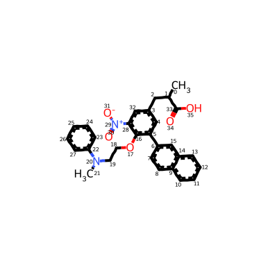 CC(Cc1cc(-c2ccc3ccccc3c2)c(OCCN(C)c2ccccc2)c([N+](=O)[O-])c1)C(=O)O